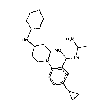 CC(N)NC(O)c1cc(C2CC2)cnc1N1CCC(NC2CCCCC2)CC1